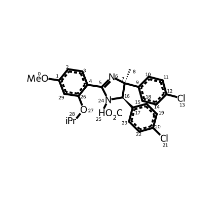 COc1ccc(C2=N[C@@](C)(c3ccc(Cl)cc3)[C@@H](c3ccc(Cl)cc3)N2C(=O)O)c(OC(C)C)c1